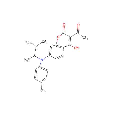 CC([C@@H](C)C(F)(F)F)N(c1ccc(C(F)(F)F)cc1)c1ccc2c(O)c(C(=O)C(F)(F)F)c(=O)oc2c1